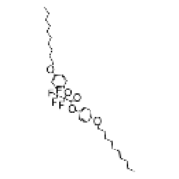 CCCCCCCCCCOc1ccc(OC(=O)C(F)(Oc2ccc(OCCCCCCCCCC)cc2)C(F)(F)F)cc1